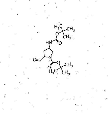 CC(C)(C)OC(=O)NC1CC(C=O)N(C(=O)OC(C)(C)C)C1